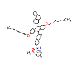 C#CC#CC#CC#COc1ccc2c(-c3ccc4c(ccc5ccccc54)c3)c3cc(OCCCCCCCC)ccc3c(-c3ccc4cc(NC(=O)C(C)(C)CC)ccc4c3)c2c1